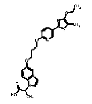 CCOc1nc(-c2ccc(OCCCOc3ccc4c(ccn4[C@@H](C)C(=O)O)c3)nc2)sc1C